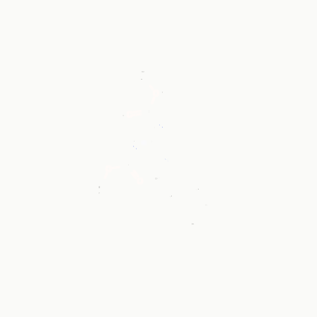 CC(C)(C)OC(=O)/N=C(/NC(=O)OC(C)(C)C)N1CCC(CCC(=O)O)CC1